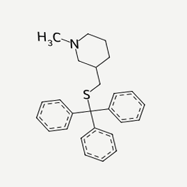 CN1CCCC(CSC(c2ccccc2)(c2ccccc2)c2ccccc2)C1